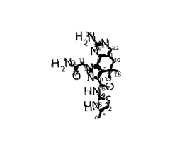 CC1=CSC(NC(=O)c2nn(CC(N)=O)c3c2C(C)(C)Cc2cnc(N)nc2-3)N1